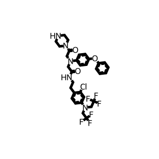 O=C(CN(CC(=O)N1CCNCC1)c1ccc(Oc2ccccc2)cc1)NCCc1ccc(N(CC(F)(F)F)CC(F)(F)F)cc1Cl